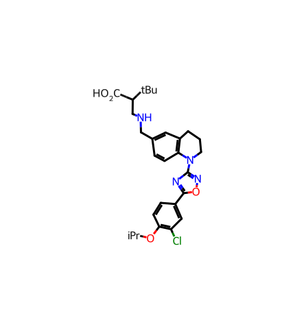 CC(C)Oc1ccc(-c2nc(N3CCCc4cc(CNCC(C(=O)O)C(C)(C)C)ccc43)no2)cc1Cl